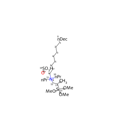 CCCCCCCCCCCCCCCCCC[N+](CCC)(CCC)CC(C)[Si](OC)(OC)OC.O=S(=O)([O-])O